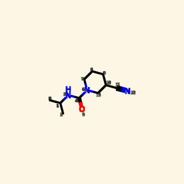 CC(C)NC(=O)N1CCCC(C#N)C1